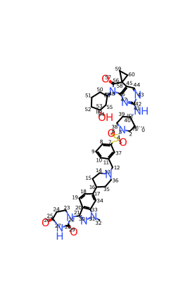 C[C@@H]1CN(S(=O)(=O)c2cccc(CN3CCC(c4ccc5c(N6CCC(=O)NC6=O)nn(C)c5c4)CC3)c2)CC[C@@H]1Nc1ncc2c(n1)N([C@@H]1CCC[C@@H](O)C1)C(=O)C21CC1